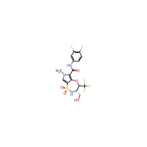 Cn1cc2c(c1C(=O)Nc1ccc(F)c(F)c1)OC(C(F)(F)F)[C@H](CO)NS2(=O)=O